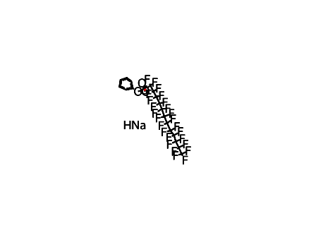 O=S(=O)(Oc1ccccc1)C(F)(F)C(F)(F)C(F)(F)C(F)(F)C(F)(F)C(F)(F)C(F)(F)C(F)(F)C(F)(F)C(F)(F)C(F)(F)C(F)(F)F.[NaH]